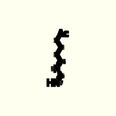 CC(=O)CCC/C=N/C=N